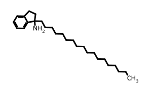 CCCCCCCCCCCCCCCCCCC1(N)CCc2ccccc21